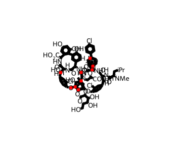 CN[C@H](CC(C)C)C(=O)NC1C(=O)N[C@@H](CC(N)=O)C(=O)N[C@H]2C(=O)NC3C(=O)N[C@H](C(=O)N[C@@H](C(=O)O)c4cc(O)cc(O)c4-c4cc3ccc4O)[C@H](O)c3ccc(c(Cl)c3)Oc3cc2cc(c3OC2OC(CO)C(O)C(O)C2OC2CC(C)(NCC(OCc3ccc(-c4ccc(Cl)cc4)cc3)C(=O)O)[C@@H](O)C(C)O2)Oc2ccc(cc2Cl)[C@H]1O